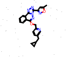 Cc1cc(-c2nnc3c4ccccc4c(OCc4ccc(CC5CC5)cn4)nn23)no1